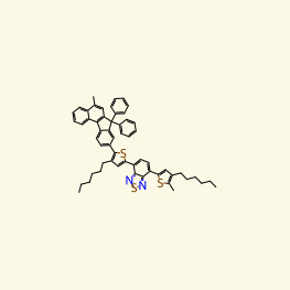 CCCCCCc1cc(-c2ccc(-c3cc(CCCCCC)c(-c4ccc5c(c4)C(c4ccccc4)(c4ccccc4)c4cc(C)c6ccccc6c4-5)s3)c3nsnc23)sc1C